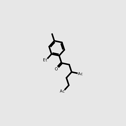 CCc1cc(C)ccc1C(=O)CC(CCC(C)=O)C(C)=O